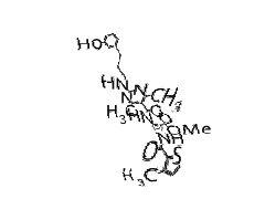 COC(=O)[C@H](CNC(=O)c1sccc1C)NC(=O)c1c(C)nc(NCCCc2cccc(O)c2)nc1C